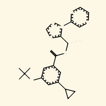 C[C@H](NC(=O)c1cc(OC(F)(F)F)cc(C2CC2)c1)c1ncnn1-c1cnccn1